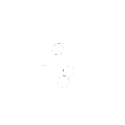 CO/C=C1\C[C@@H](c2ccccc2)[C@]2(c3ccc(C(F)(F)F)cc3)Oc3cncc(OC)c3[C@]12O